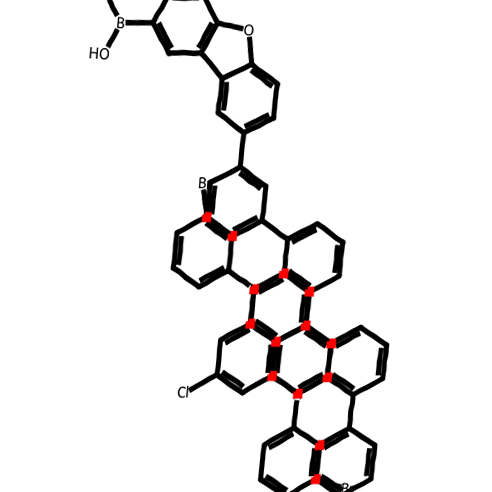 OB(O)c1ccc2oc3ccc(-c4cccc(-c5cccc(-c6ccccc6)c5N(c5cccc(Br)c5)c5cc(Cl)cc(N(c6cccc(Br)c6)c6c(-c7ccccc7)cccc6-c6ccccc6)c5)c4)cc3c2c1